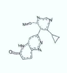 COc1ncnc(C2CC2)c1-c1cc2[nH]c(=O)ccc2nn1